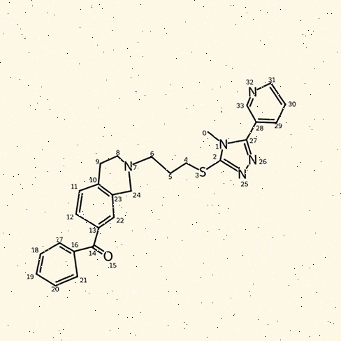 Cn1c(SCCCN2CCc3ccc(C(=O)c4ccccc4)cc3C2)nnc1-c1cccnc1